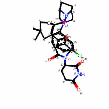 CC1(C)CCC(CN2C3CCC2CN(c2ccc4c(c2)CN(C2CCC(=O)NC2=O)C4=O)C3)=C(c2ccc(Cl)cc2)C1